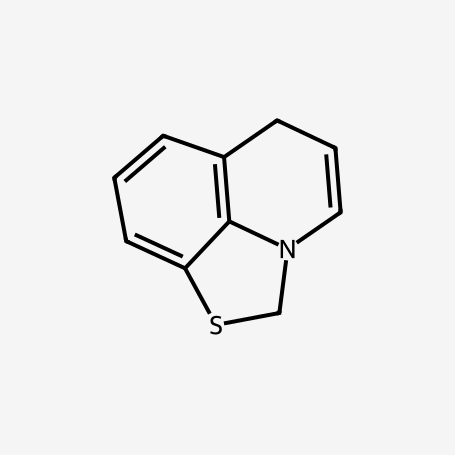 C1=CN2CSc3cccc(c32)C1